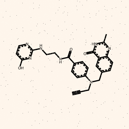 C#CCN(Cc1ccc2nc(C)[nH]c(=O)c2c1)c1ccc(C(=O)NCCNc2nccc(O)n2)cc1